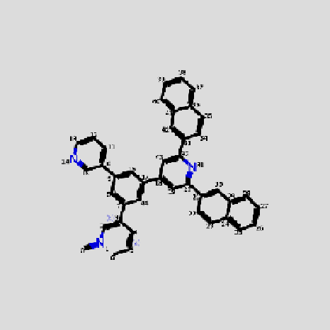 C=N/C=C(\C=C/C)c1cc(-c2cccnc2)cc(-c2cc(-c3ccc4ccccc4c3)nc(-c3ccc4ccccc4c3)c2)c1